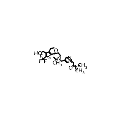 C[C@H]1C[C@@]2(CCN1Cc1cnn(CC(=O)N(C)C)c1)OCCc1c2sc(C(F)(F)F)c1CO